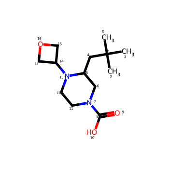 CC(C)(C)CC1CN(C(=O)O)CCN1C1COC1